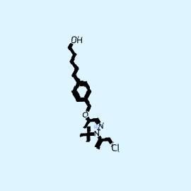 C=C(CCl)N(/N=C\C(C)OCc1ccc(CCCCCO)cc1)C(C)(C)C